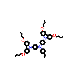 C=Cc1ccc(N(c2ccc(-n3c4ccc(OCCCC)cc4c4cc(OCCCC)ccc43)cc2)c2ccc(-n3c4ccc(OCCCC)cc4c4cc(OCCCC)ccc43)cc2)cc1